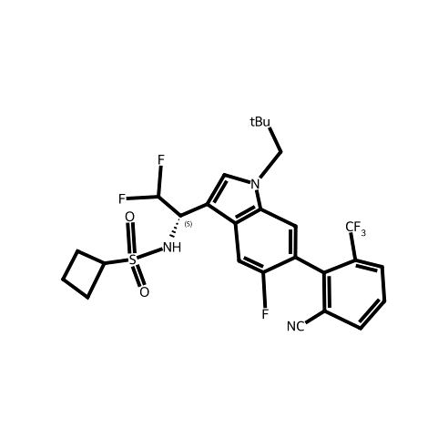 CC(C)(C)Cn1cc([C@H](NS(=O)(=O)C2CCC2)C(F)F)c2cc(F)c(-c3c(C#N)cccc3C(F)(F)F)cc21